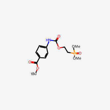 COP(=O)(CCOC(=O)Nc1ccc(C(=O)OC(C)(C)C)cc1)OC